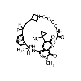 C[C@H]1Nc2nn(C)c(=O)c3c2cc(C2(C#N)CC2)c(=O)n3CC(=O)NCCCCN2CC(C2)CC(F)(F)c2cccc1c2F